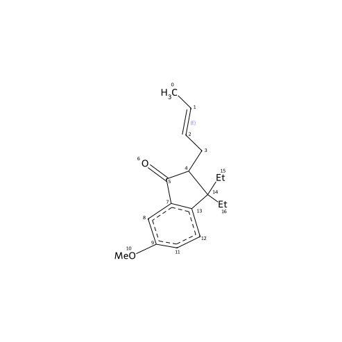 C/C=C/CC1C(=O)c2cc(OC)ccc2C1(CC)CC